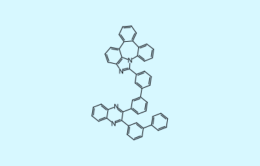 c1ccc(-c2cccc(-c3nc4ccccc4nc3-c3cccc(-c4cccc(-c5nc6cccc7c6n5-c5ccccc5-c5ccccc5-7)c4)c3)c2)cc1